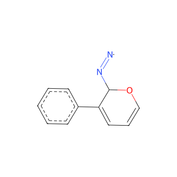 [N]=NC1OC=CC=C1c1ccccc1